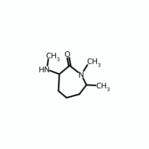 CNC1CCCC(C)N(C)C1=O